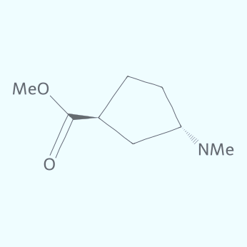 CN[C@H]1CC[C@H](C(=O)OC)C1